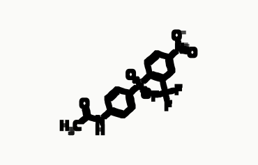 CC(=O)Nc1ccc(S(=O)(=O)c2ccc([N+](=O)[O-])cc2C(F)(F)F)cc1